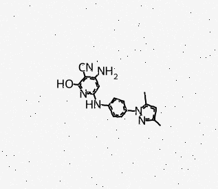 Cc1cc(C)n(-c2ccc(Nc3cc(N)c(C#N)c(O)n3)cc2)n1